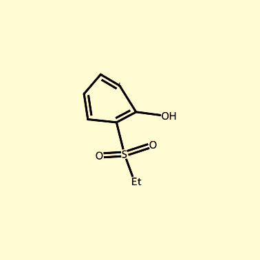 CCS(=O)(=O)c1ccc[c]c1O